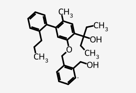 CCCc1ccccc1-c1cc(OCc2ccc[c]c2CO)c(C(O)(CC)CC)cc1C